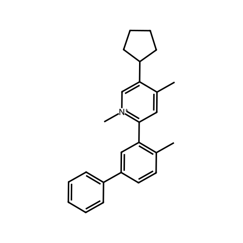 Cc1ccc(-c2ccccc2)cc1-c1cc(C)c(C2CCCC2)c[n+]1C